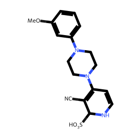 COc1cccc(N2CCN(C3=C(C#N)C(S(=O)(=O)O)NC=C3)CC2)c1